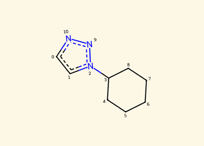 c1cn(C2CCCCC2)nn1